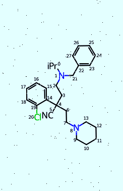 CC(C)N(CCC(C#N)(CCN1CCCCC1)c1ccccc1Cl)Cc1ccccc1